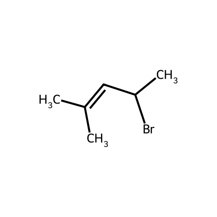 CC(C)=CC(C)Br